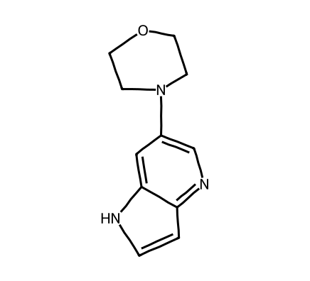 c1cc2ncc(N3CCOCC3)cc2[nH]1